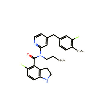 COc1ccc(Cc2ccnc(N(CCNC(C)=O)C(=O)c3c(F)ccc4c3CCN4)c2)cc1F